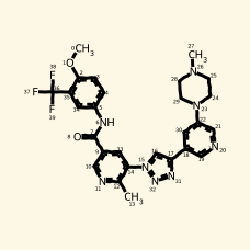 COc1ccc(NC(=O)c2cnc(C)c(-n3cc(-c4cncc(N5CCN(C)CC5)c4)nn3)c2)cc1C(F)(F)F